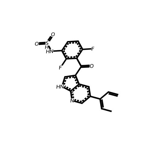 C=C/C(=C\C)c1cnc2[nH]cc(C(=O)c3c(F)ccc(N[SH](=O)=O)c3F)c2c1